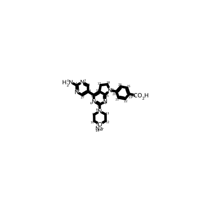 Nc1ncc(-c2nc(N3CCOCC3)nc3c2CCN3c2ccc(C(=O)O)cc2)cn1.[Na]